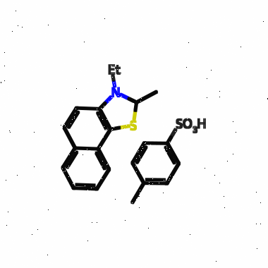 CCN1c2ccc3ccccc3c2SC1C.Cc1ccc(S(=O)(=O)O)cc1